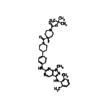 Cc1cccc(C)c1Nc1nn(C)c2nc(Nc3ccc(C4CCN(C(=O)C5(F)CCN(C(=O)OC(C)(C)C)CC5)CC4)cc3)ncc12